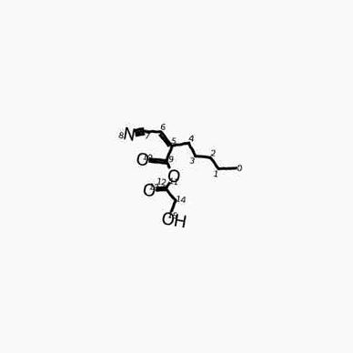 CCCCCC(=CC#N)C(=O)OC(=O)CO